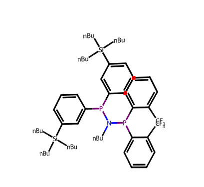 CCCCN(P(c1cccc([Si](CCCC)(CCCC)CCCC)c1)c1cccc([Si](CCCC)(CCCC)CCCC)c1)P(c1ccccc1C(F)(F)F)c1ccccc1C(F)(F)F